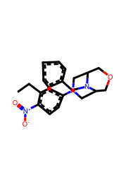 CCc1cc(N2CC3COCC(C2)N3Cc2ccccc2)ccc1[N+](=O)[O-]